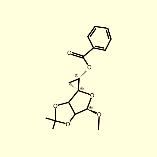 CO[C@@H]1O[C@@]2(C[C@@H]2OC(=O)c2ccccc2)C2OC(C)(C)OC21